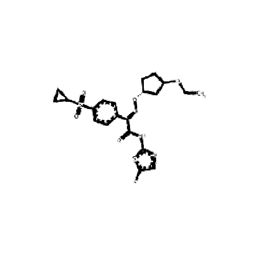 CCOC1CC[C@@H](O/N=C(/C(=O)Nc2ncc(F)s2)c2ccc(S(=O)(=O)C3CC3)cc2)C1